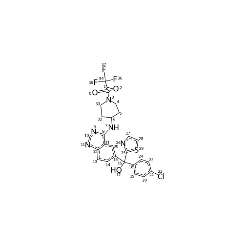 O=S(=O)(N1CCC(Nc2ncnc3ccc(C(O)(c4ccc(Cl)cc4)c4nccs4)cc23)CC1)C(F)(F)F